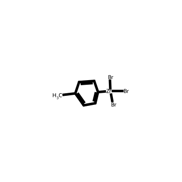 Cc1cc[c]([Zr]([Br])([Br])[Br])cc1